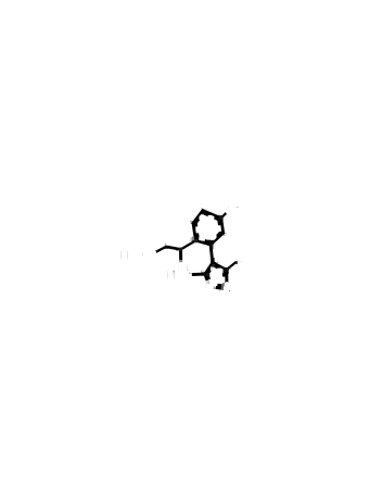 CCC(CC(=O)O)c1ccc(O)cc1-c1c(C)noc1C